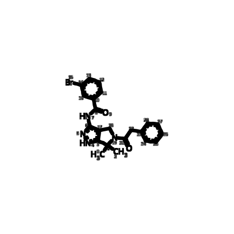 CC1(C)c2[nH]nc(NC(=O)c3cccc(Br)c3)c2CN1C(=O)Cc1ccccc1